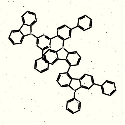 c1ccc(-c2ccc(-c3nc(-c4ccccc4)nc(-n4c5ccccc5c5ccccc54)n3)c(-n3c4ccccc4c4c(-c5cccc6c5c5ccc(-c7ccccc7)cc5n6-c5ccccc5)cccc43)c2)cc1